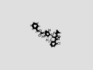 Cc1cccc(Cl)c1-c1noc(C2(F)CC2)c1CO[C@@H]1C[C@@H]2C[C@H]1CN2C(=O)OCc1ccccc1